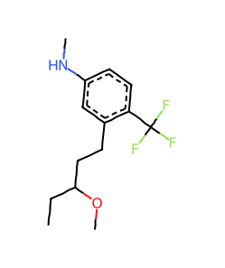 CCC(CCc1cc(NC)ccc1C(F)(F)F)OC